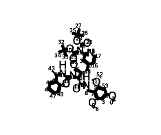 COc1cc(OC)c(CNC(=O)[C@@H]2[C@@H](Cc3ccnc(N(C(=O)OC(C)(C)C)C(=O)OC(C)(C)C)c3)C(=O)N2C(=O)N[C@H](C)c2ccccc2)c(OC)c1